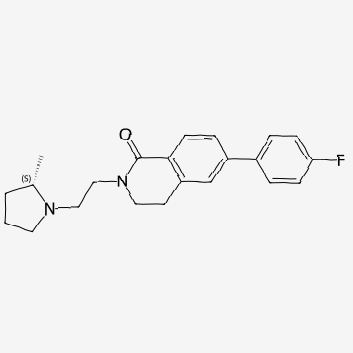 C[C@H]1CCCN1CCN1CCc2cc(-c3ccc(F)cc3)ccc2C1=O